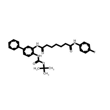 CC(C)(C)OC(=O)Nc1ccc(-c2ccccc2)cc1NC(=O)CCCCCC(=O)Nc1ccc(F)cc1